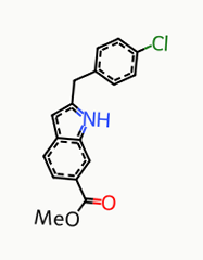 COC(=O)c1ccc2cc(Cc3ccc(Cl)cc3)[nH]c2c1